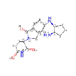 N[C@@H]1CCC[C@@H]1Nc1ccc2c(c1)CN(C1CCC(=O)NC1=O)C2=O